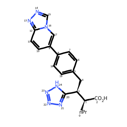 CCC[C@H](C(=O)O)[C@H](Cc1ccc(-c2ccc3nncn3c2)cc1)c1nnn[nH]1